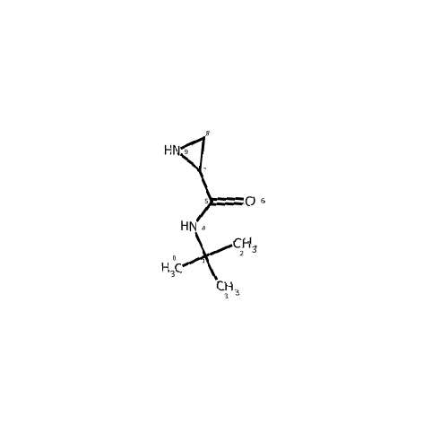 CC(C)(C)NC(=O)C1CN1